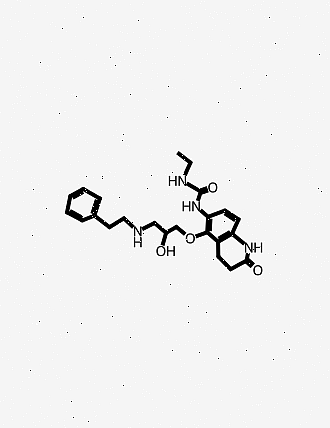 CCNC(=O)Nc1ccc2c(c1OCC(O)CNCCc1ccccc1)CCC(=O)N2